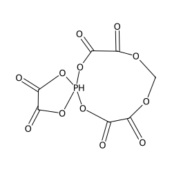 O=C1OCOC(=O)C(=O)O[PH]2(OC1=O)OC(=O)C(=O)O2